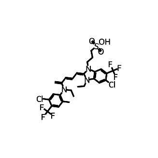 C=C(/C=C/C=C1\N(CC)c2cc(Cl)c(C(F)(F)F)cc2N1CCCS(=O)(=O)O)N(CC)c1cc(Cl)c(C(F)(F)F)cc1C